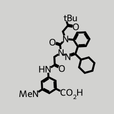 CNc1cc(NC(=O)CN2N=C(C3CCCCC3)c3ccccc3N(CC(=O)C(C)(C)C)C2=O)cc(C(=O)O)c1